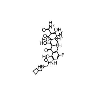 CN(C)[C@@H]1C(O)=C(C(N)=O)C(=O)[C@@]2(O)C(O)=C3C(=O)c4c(O)c(NC(=O)CNCC5CCC5)cc(F)c4C[C@H]3C[C@@H]12